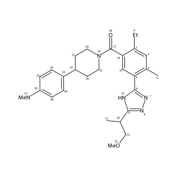 CCc1cc(C)c(-c2nnc(C(C)COC)[nH]2)cc1C(=O)N1CCC(c2ccc(NC)cc2)CC1